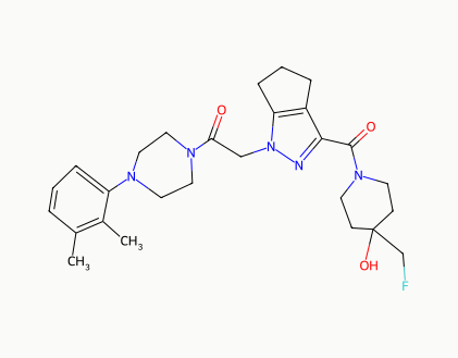 Cc1cccc(N2CCN(C(=O)Cn3nc(C(=O)N4CCC(O)(CF)CC4)c4c3CCC4)CC2)c1C